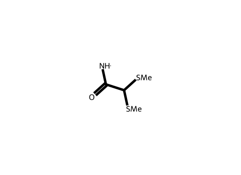 CSC(SC)C([NH])=O